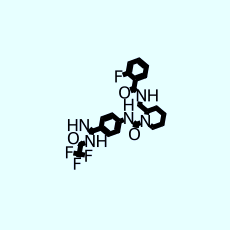 N=C(NC(=O)C(F)(F)F)c1ccc(NC(=O)N2CCCCC2CNC(=O)c2ccccc2F)cc1